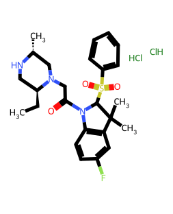 CC[C@H]1CN[C@H](C)CN1CC(=O)N1c2ccc(F)cc2C(C)(C)C1S(=O)(=O)c1ccccc1.Cl.Cl